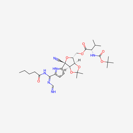 CCCCC(=O)N/C(=N/C=N)c1ccc([C@]2(C#N)O[C@H](COC(=O)[C@@H](NC(=O)OC(C)(C)C)C(C)C)[C@H]3OC(C)(C)O[C@H]32)[nH]1